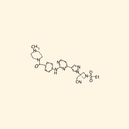 CCS(=O)(=O)N1CC(CC#N)(n2cc(-c3ccnc(Nc4ccc(C(=O)N5CCN(C)CC5)cc4)n3)cn2)C1